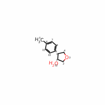 C1CCOC1.Cc1ccccc1.O